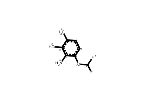 Cc1ccc(OC(F)F)c(N)c1O